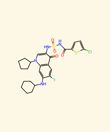 O=C(NS(=O)(=O)Nc1cn(C2CCCC2)c2cc(NC3CCCCC3)c(F)cc2c1=O)c1ccc(Cl)s1